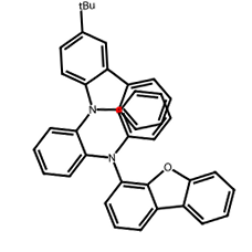 CC(C)(C)c1ccc2c(c1)c1ccccc1n2-c1ccccc1N(c1ccccc1)c1cccc2c1oc1ccccc12